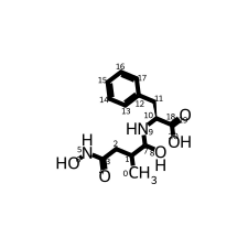 CC(CC(=O)NO)C(O)N[C@@H](Cc1ccccc1)C(=O)O